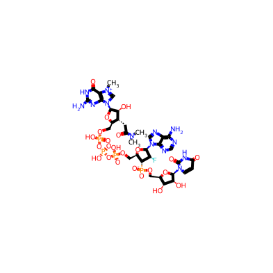 CN(C)C(=O)C[C@H]1[C@@H](O)[C@H](n2c[n+](C)c3c(=O)[nH]c(N)nc32)O[C@@H]1COP(=O)(O)OP(=O)(O)OP(=O)(O)OC[C@H]1O[C@@H](n2cnc3c(N)ncnc32)[C@H](F)[C@@H]1P(=O)([O-])OC[C@H]1O[C@@H](n2ccc(=O)[nH]c2=O)[C@H](O)[C@@H]1O